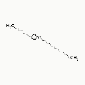 CCCCCCCCCCCCCCC[n+]1ccc(CCCCCCCC)cc1